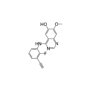 C#Cc1cccc(Nc2ncnc3cc(OC)c(O)cc23)c1F